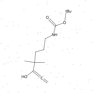 C=C=C(O)C(C)(C)CCCNC(=O)OC(C)(C)C